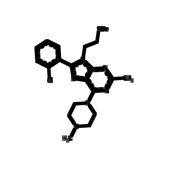 CSCCn1c(-c2ccccc2Cl)nc2c(N3CCN(C)CC3)nc(C)nc21